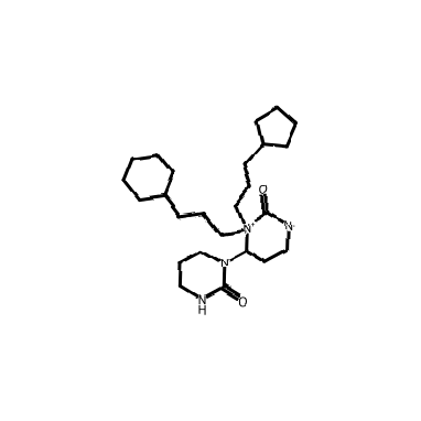 O=C1NCCCN1C1CC[N]C(=O)[N+]1(CCCC1CCCCC1)CCCC1CCCC1